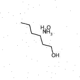 CCCCCCO.N.O